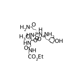 CCOC(=O)CNC(=O)CNC(=O)[C@H](C)NC(=O)[C@H](CCC(N)=O)NC(=O)[C@@H](N)Cc1ccc(O)cc1